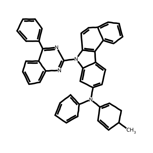 CC1C=CC(N(c2ccccc2)c2ccc3c4c5ccccc5ccc4n(-c4nc(-c5ccccc5)c5ccccc5n4)c3c2)=CC1